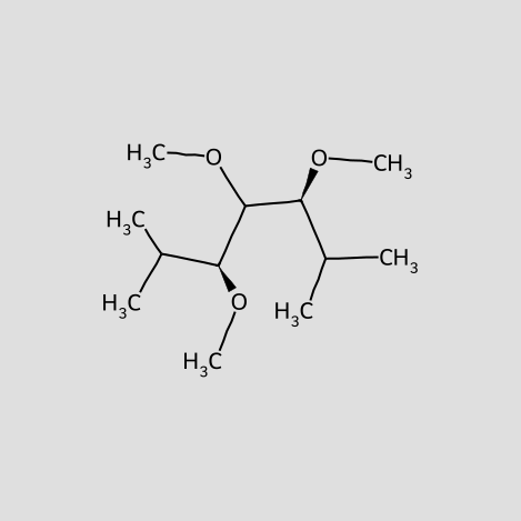 COC([C@@H](OC)C(C)C)[C@@H](OC)C(C)C